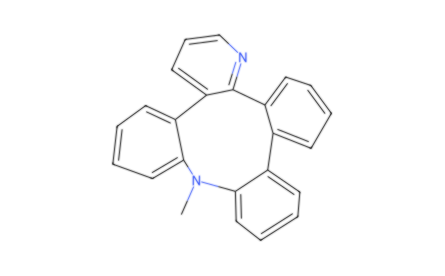 Cn1c2ccccc2c2ccccc2c2ncccc2c2ccccc21